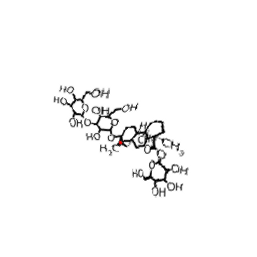 C=C1C[C@@]23CCC4[C@](C)(C(=O)OC5OC(CO)C(O)C(O)C5O)CCC[C@@]4(C)[C@@H]2CCC1(OC1OC(CO)C(O)C(OC2OC(CO)C(O)C(O)C2O)C1O)C3